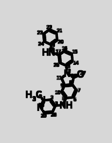 Cc1cc(Nc2ccc3c(c2)CN(c2cccc(Nc4ccccc4)c2)C3=O)ccn1